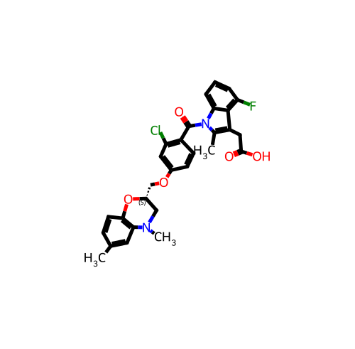 Cc1ccc2c(c1)N(C)C[C@@H](COc1ccc(C(=O)n3c(C)c(CC(=O)O)c4c(F)cccc43)c(Cl)c1)O2